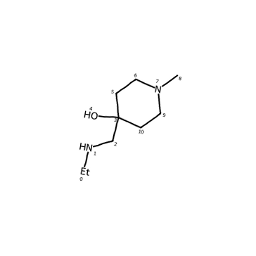 CCNCC1(O)CCN(C)CC1